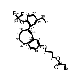 C=CC(=O)OCCCOc1ccc2c(c1)/C=C(/c1cc(CC)ccc1OC(F)(F)F)CCCC2